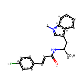 Cn1cc(C[C@H](NC(=O)/C=C/c2ccc(F)cc2)C(=O)O)c2ccccc21